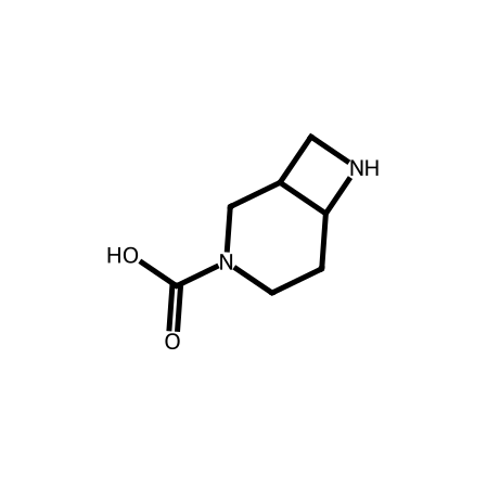 O=C(O)N1CCC2NCC2C1